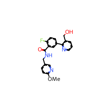 COc1ccc(CNC(=O)c2cc(-c3ncccc3CO)ccc2F)cn1